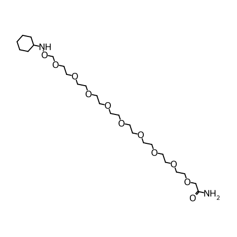 NC(=O)COCCOCCOCCOCCOCCOCCOCCOCCOCONC1CCCCC1